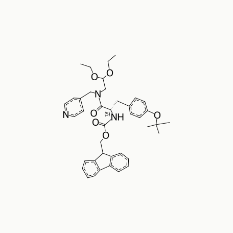 CCOC(CN(Cc1ccncc1)C(=O)[C@H](Cc1ccc(OC(C)(C)C)cc1)NC(=O)OCC1c2ccccc2-c2ccccc21)OCC